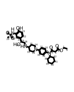 CCOC(=O)CC(=O)N(c1ccc(N2CCC(NC[C@H](O)c3ccc(O)c(NS(C)(=O)=O)c3)CC2)cc1)C1CCCCC1